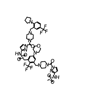 CS(=O)(=O)Nc1ccn(C(=O)N2CCN(Cc3cc(N4CCOCC4)cc(CS(=O)(=O)Nc4ccn(C(=O)N5CCN(Cc6cc(C(F)(F)F)ccc6N6CCCC6)CC5)n4)c3C(F)(F)F)CC2)n1